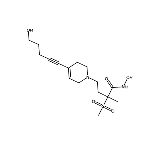 CC(CCN1CC=C(C#CCCCO)CC1)(C(=O)NO)S(C)(=O)=O